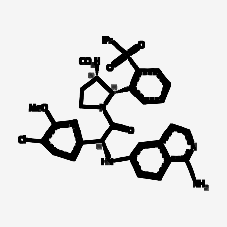 COc1cc([C@H](Nc2ccc3c(N)nccc3c2)C(=O)N2CC[C@H](C(=O)O)[C@@H]2c2ccccc2S(=O)(=O)C(C)C)ccc1Cl